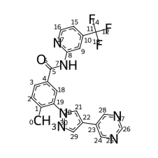 Cc1ccc(C(=O)Nc2cc(C(F)(F)F)ccn2)cc1-n1cc(-c2cncnc2)cn1